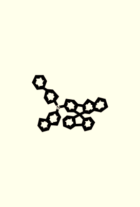 c1ccc(-c2ccc(N(c3ccc4c(c3)C3(c5ccccc5-c5ccccc53)c3cc5ccccc5cc3-4)c3ccc4ccccc4c3)cc2)cc1